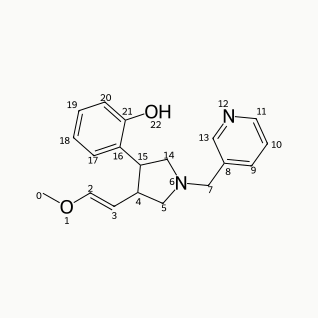 COC=CC1CN(Cc2cccnc2)CC1c1ccccc1O